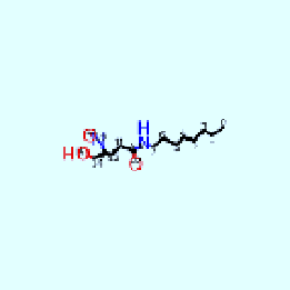 CCCCCCCCNC(=O)CCC(CO)N=O